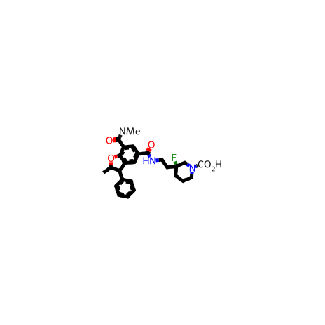 CNC(=O)c1cc(C(=O)NCCC2(F)CCCN(C(=O)O)C2)cc2c1OC(C)C2c1ccccc1